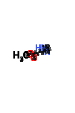 CCOC(=O)CCCCc1n[c]c[nH]1